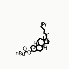 CCCCC(=O)OC1CC[C@@]2(C)C(=CC[C@H]3[C@@H]4CC[C@H]([C@H](C)CCCC(C)C)[C@@]4(C)CC[C@@H]32)C1